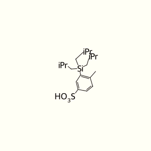 Cc1ccc(S(=O)(=O)O)cc1[Si](CC(C)C)(CC(C)C)CC(C)C